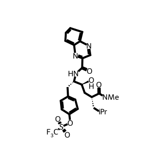 CNC(=O)[C@H](CC(C)C)C[C@H](O)[C@H](Cc1ccc(OS(=O)(=O)C(F)(F)F)cc1)NC(=O)c1cnc2ccccc2n1